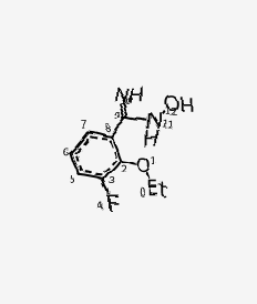 CCOc1c(F)cccc1C(=N)NO